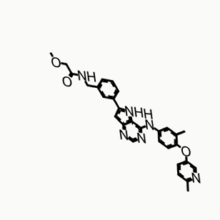 COCC(=O)NCc1cccc(-c2cc3ncnc(Nc4ccc(Oc5ccc(C)nc5)c(C)c4)c3[nH]2)c1